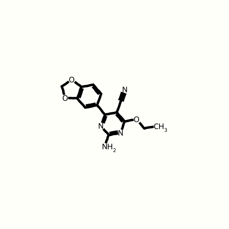 CCOc1nc(N)nc(-c2ccc3c(c2)OCO3)c1C#N